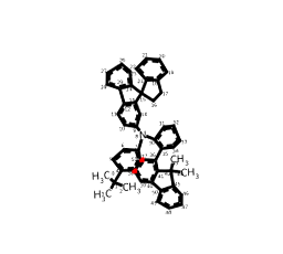 CC(C)(C)c1ccc(N(c2ccc3c(c2)C2(CCc4ccccc42)c2ccccc2-3)c2ccccc2-c2cccc3c2C(C)(C)c2ccccc2-3)cc1